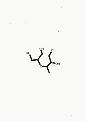 CC(OC(CO)CO)C(O)CO